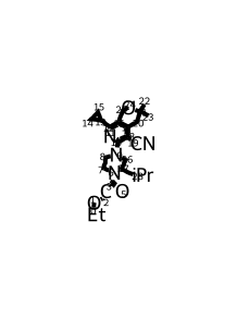 CCOCCC(=O)N1CCN(c2nc(C3CC3)c3c(c2C#N)CC(C)(C)OC3)CC1C(C)C